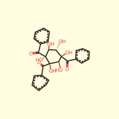 O=C(c1ccccc1)[C@]1(O)[C@@H](O)[C@](O)(C(=O)c2ccccc2)[C@@](O)(C(=O)c2ccccc2)[C@@H](O)[C@@H]1O